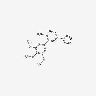 COc1cc(-c2cc(-c3ccoc3)cnc2N)cc(OC)c1OC